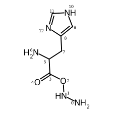 NNOC(=O)C(N)Cc1c[nH]cn1